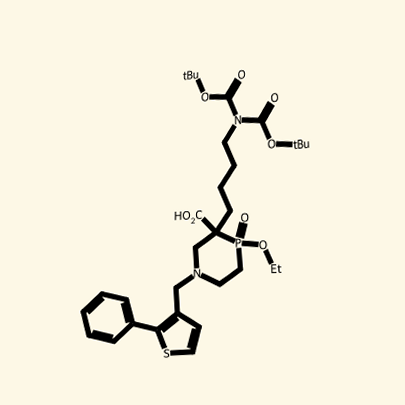 CCOP1(=O)CCN(Cc2ccsc2-c2ccccc2)CC1(CCCCN(C(=O)OC(C)(C)C)C(=O)OC(C)(C)C)C(=O)O